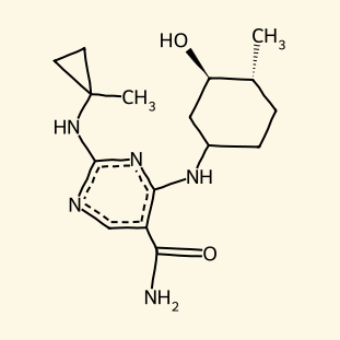 C[C@@H]1CCC(Nc2nc(NC3(C)CC3)ncc2C(N)=O)C[C@H]1O